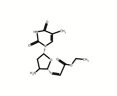 CCOC(=O)/C=C\[C@H]1O[C@@H](n2cc(C)c(=O)[nH]c2=O)CC1N